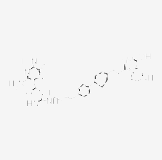 N=C(NCCCCc1ccc(-c2ccc(CCC(=O)N3CCNC[C@@H]3C(=O)O)cc2)cc1)NC(=O)c1nc(Cl)c(N)nc1N